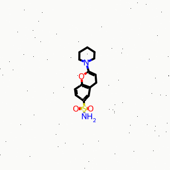 NS(=O)(=O)c1ccc2c(c1)CC=C(N1CCCCC1)O2